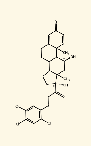 CC12C=CC(=O)C=C1CCC1C2[C@@H](O)CC2(C)C1CC[C@]2(O)C(=O)CSc1cc(Cl)c(Cl)cc1Cl